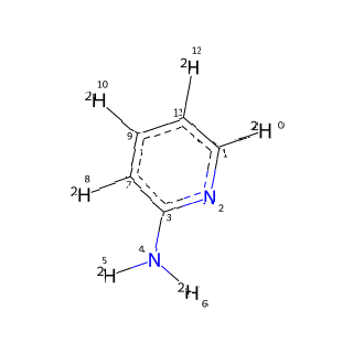 [2H]c1nc(N([2H])[2H])c([2H])c([2H])c1[2H]